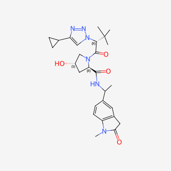 CC(NC(=O)[C@H]1C[C@H](O)CN1C(=O)[C@H](n1cc(C2CC2)nn1)C(C)(C)C)c1ccc2c(c1)CC(=O)N2C